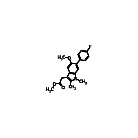 COC(=O)Cc1c(C)n(C)c2cc(-c3ccc(F)cc3)c(OC)cc12